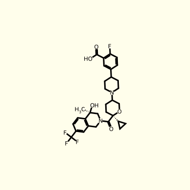 C[C@]1(O)CN(C(=O)[C@@]2(C3CC3)CCC(N3CCC(c4ccc(F)c(C(=O)O)c4)CC3)CO2)Cc2cc(C(F)(F)F)ccc21